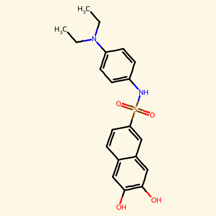 CCN(CC)c1ccc(NS(=O)(=O)c2ccc3cc(O)c(O)cc3c2)cc1